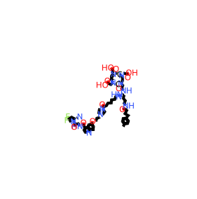 Cc1ccc(CCCC(=O)NCCCC[C@@H](N/N=C/CCCCCC(=O)N2CCN(CCCOc3ccc4nccc(C(=O)NCC(=O)N5CC(F)(F)C[C@@H]5C#N)c4c3)CC2)NC(=O)CN2CCN(CC(=O)O)CCN(CC(=O)O)CCN(CC(=O)O)CC2)cc1